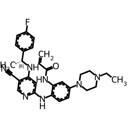 C=CC(=O)Nc1cc(N2CCN(CC)CC2)ccc1Nc1cc(N[C@H](C)c2ccc(F)cc2)c(C#N)cn1